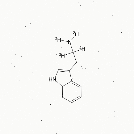 [2H]N([2H])C([2H])([2H])Cc1c[nH]c2ccccc12